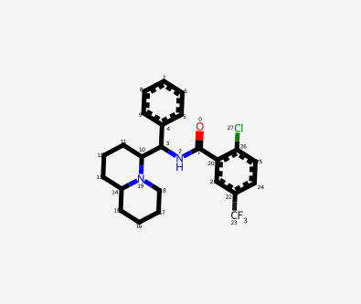 O=C(NC(c1ccccc1)C1CCCC2CCCCN21)c1cc(C(F)(F)F)ccc1Cl